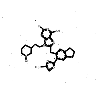 CC(=O)N1CCCC(CCn2c(Cc3cc4c(cc3-c3nc(C)cs3)CCC4)nc3c([AsH2])nc(F)nc32)C1